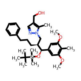 COc1cc([C@@H](O[Si](C)(C)C(C)(C)C)[C@@H](CCCc2ccccc2)Cn2ncc(CO)c2C)cc(OC)c1C